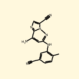 Cc1ccc(C#N)cc1Nc1cc(N)c2ncc(C#N)n2n1